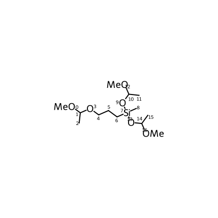 COC(C)OCCC[Si](C)(OC(C)OC)OC(C)OC